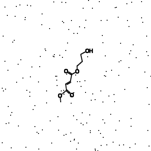 COC(=O)C=CC(=O)OCCCO